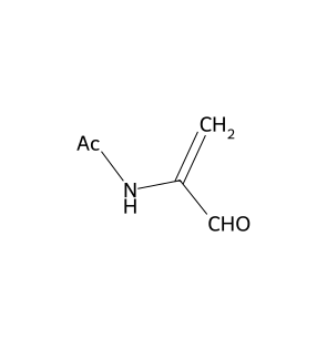 C=C(C=O)NC(C)=O